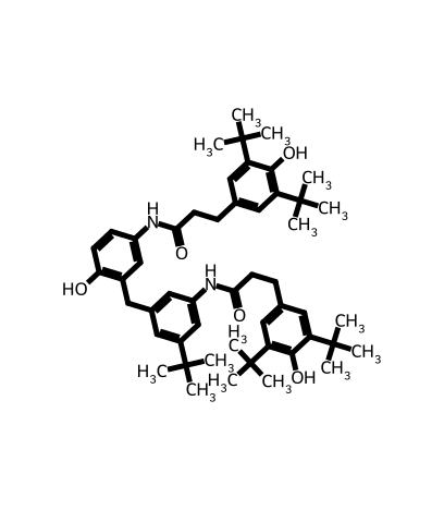 CC(C)(C)c1cc(Cc2cc(NC(=O)CCc3cc(C(C)(C)C)c(O)c(C(C)(C)C)c3)ccc2O)cc(NC(=O)CCc2cc(C(C)(C)C)c(O)c(C(C)(C)C)c2)c1